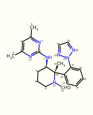 Cc1cc(C)nc(N[C@@H]2CCCN(C=O)[C@@]2(C)c2ccccc2-n2nccn2)n1